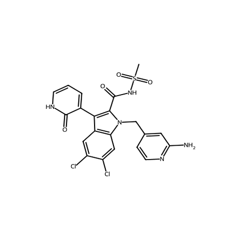 CS(=O)(=O)NC(=O)c1c(-c2ccc[nH]c2=O)c2cc(Cl)c(Cl)cc2n1Cc1ccnc(N)c1